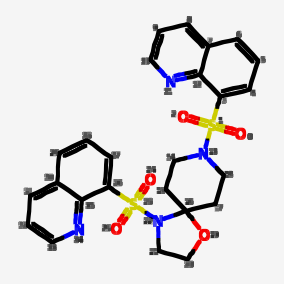 O=S(=O)(c1cccc2cccnc12)N1CCC2(CC1)OCCN2S(=O)(=O)c1cccc2cccnc12